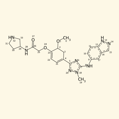 COC1CC(c2nc(Nc3ccc4[nH]ncc4c3)n(C)n2)=CC=C1OCC(=O)NC1CCNC1